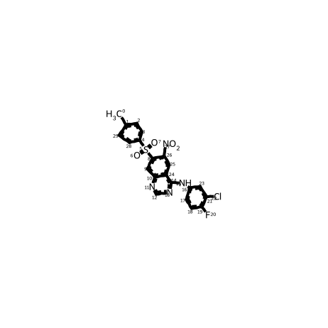 Cc1ccc(S(=O)(=O)c2cc3ncnc(Nc4ccc(F)c(Cl)c4)c3cc2[N+](=O)[O-])cc1